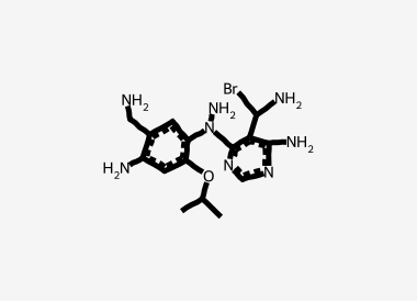 CC(C)Oc1cc(N)c(CN)cc1N(N)c1ncnc(N)c1C(N)Br